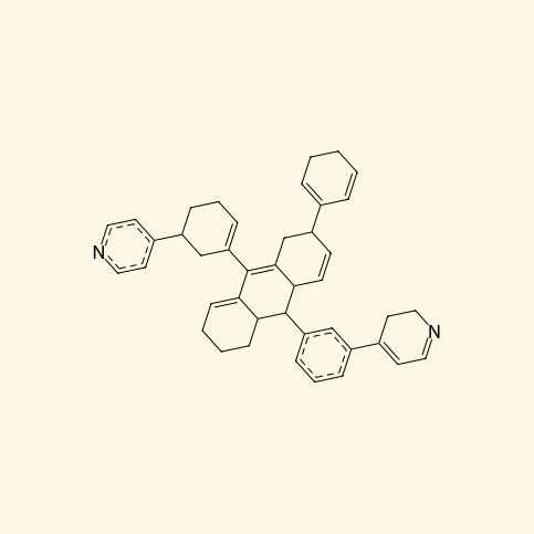 C1=CC(C2C=CC3C(=C(C4=CCCC(c5ccncc5)C4)C4=CCCCC4C3c3cccc(C4=CC=NCC4)c3)C2)=CCC1